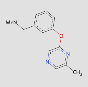 CNCc1cccc(Oc2cncc(C)n2)c1